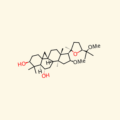 CO[C@H]1C[C@@]2(C)[C@@H]3C[C@H](O)[C@H]4C(C)(C)[C@@H](O)CCC45C[C@@]35CC[C@]2(C)[C@H]1[C@@]1(C)CC[C@@H](C(C)(C)OC)O1